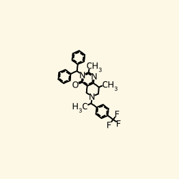 Cc1nc2c(c(=O)n1C(c1ccccc1)c1ccccc1)CN(C(C)c1ccc(C(F)(F)F)cc1)CC2C